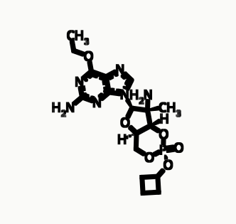 CCOc1nc(N)nc2c1ncn2[C@@H]1O[C@@H]2CO[P@@](=O)(OC3CCC3)O[C@H]2[C@@]1(C)N